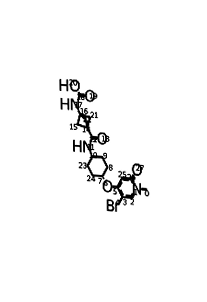 Cn1cc(Br)c(O[C@H]2CC[C@H](NC(=O)C34CC(NC(=O)O)(C3)C4)CC2)cc1=O